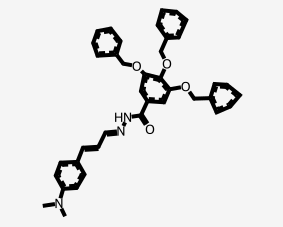 CN(C)c1ccc(/C=C/C=N/NC(=O)c2cc(OCc3ccccc3)c(OCc3ccccc3)c(OCc3ccccc3)c2)cc1